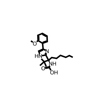 CCCCCCC(NC(=O)O)(c1nc(-c2ccccc2OC)c[nH]1)C(C)(C)C